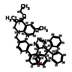 CCCN(Cc1ccc(-c2ccccc2-c2nnnn2C(c2ccccc2)(c2ccccc2)c2ccccc2)cc1)c1ncc(C)cc1C(=O)OCC